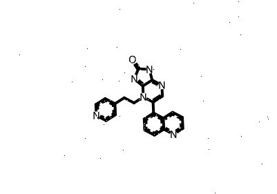 O=C1[N]C2=NC=C(c3cccc4ncccc34)N(CCc3ccncc3)C2=N1